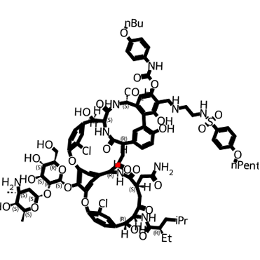 CCCCCOc1ccc(S(=O)(=O)NCCNCc2c(OC(=O)Nc3ccc(OCCCC)cc3)cc3c(c2O)-c2cc(ccc2O)[C@H]2CC(=O)[C@@H]4NC(=O)[C@H](CC(N)=O)CC(=O)[C@H](NC(=O)[C@H](CC)CC(C)C)[C@H](O)c5ccc(c(Cl)c5)Oc5cc4cc(c5O[C@@H]4O[C@H](CO)[C@@H](O)[C@H](O)[C@H]4O[C@H]4C[C@](C)(N)[C@H](O)[C@H](C)O4)Oc4ccc(cc4Cl)[C@@H](O)[C@H](NC2=O)C(=O)N[C@@H]3C(=O)O)cc1